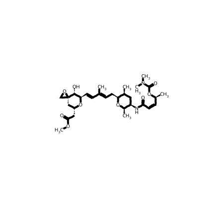 COC(=O)C[C@@H]1C[C@@]2(CO2)[C@H](O)[C@@H](/C=C/C(C)=C/C[C@@H]2O[C@H](C)[C@H](NC(=O)/C=C\[C@H](C)OC(=O)N(C)C)C[C@@H]2C)O1